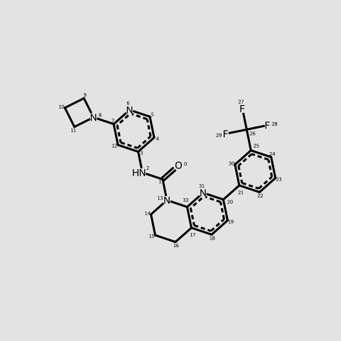 O=C(Nc1ccnc(N2CCC2)c1)N1CCCc2ccc(-c3cccc(C(F)(F)F)c3)nc21